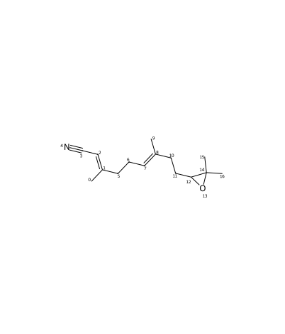 CC(=CC#N)CCC=C(C)CCC1OC1(C)C